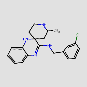 CC1CC2(CCN1)Nc1ccccc1N=C2NCc1cccc(Cl)c1